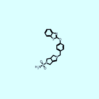 NS(=O)(=O)N1CC2=CN(Cc3ccc(Oc4nc5ccccc5s4)cc3)CC2C1